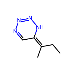 CCC(C)=C1C=NN=NN1